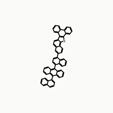 c1ccc2c(-c3c4ccccc4c(-c4ccc(-c5ccc6c(ccc7c6sc6c8ccccc8c8ccccc8c76)c5)c5ccccc45)c4ccccc34)cccc2c1